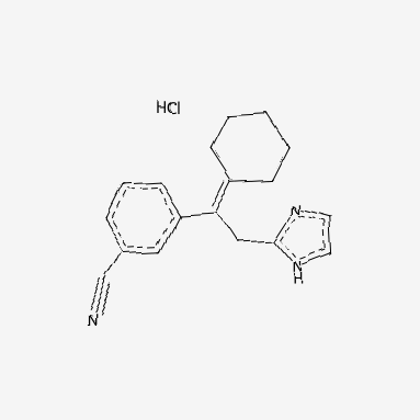 Cl.N#Cc1cccc(C(Cc2ncc[nH]2)=C2CCCCC2)c1